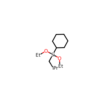 CCO[Si](CC(C)C)(OCC)C1CCCCC1